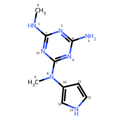 CNc1nc(N)nc(N(C)c2cc[nH]c2)n1